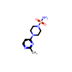 Cc1nccc(N2CCN(S(N)(=O)=O)CC2)n1